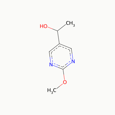 COc1ncc(C(C)O)cn1